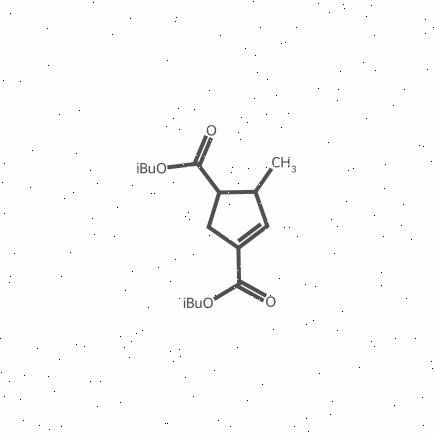 CC(C)COC(=O)C1=CC(C)C(C(=O)OCC(C)C)C1